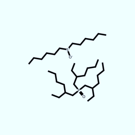 CCCCC(CC)CP(=O)(CC(CC)CCCC)CC(CC)CCCC.CCCCCC[S+]([O-])CCCCCC